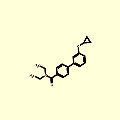 CCN(CC)C(=O)c1ccc(-c2cccc(OC3CC3)c2)cc1